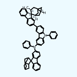 C[C@H]1CC23C[C@@H]2C[C@H](C3)[C@@]12c1ccccc1-c1ccc(-c3ccc4c(c3)c3cc(N(c5ccccc5)c5ccc6c(c5)C5(c7ccccc7-6)C6CC7CC(C6)C5C7)ccc3n4-c3ccccc3)cc12